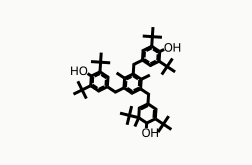 Cc1c(CC2=CC(C)(C(C)(C)C)C(O)C(C(C)(C)C)=C2)cc(Cc2cc(C(C)(C)C)c(O)c(C(C)(C)C)c2)c(C)c1Cc1cc(C(C)(C)C)c(O)c(C(C)(C)C)c1